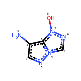 Nc1cnn2cnn(O)c12